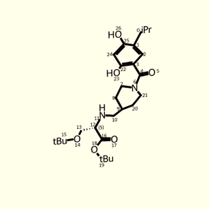 CC(C)c1cc(C(=O)N2CCC(CN[C@@H](COC(C)(C)C)C(=O)OC(C)(C)C)CC2)c(O)cc1O